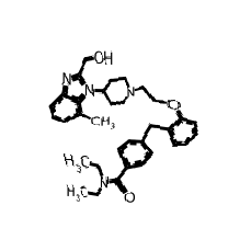 CCN(CC)C(=O)c1ccc(Cc2ccccc2OCCN2CCC(n3c(CO)nc4cccc(C)c43)CC2)cc1